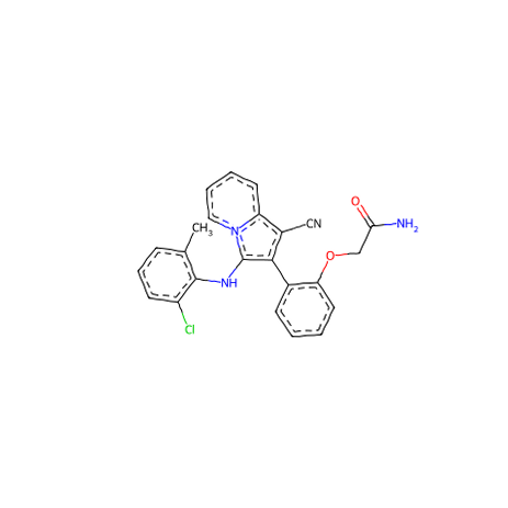 Cc1cccc(Cl)c1Nc1c(-c2ccccc2OCC(N)=O)c(C#N)c2ccccn12